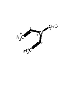 C=CN(C=C)C=O